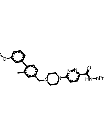 CCCNC(=O)c1ccc(N2CCN(Cc3ccc(-c4cccc(OCC)c4)c(C)c3)CC2)nn1